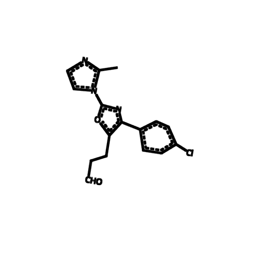 Cc1nccn1-c1nc(-c2ccc(Cl)cc2)c(CCC=O)o1